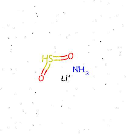 N.O=[SH-]=O.[Li+]